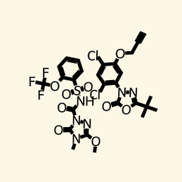 C#CCOc1cc(-n2nc(C(C)(C)C)oc2=O)c(Cl)cc1Cl.COc1nn(C(=O)NS(=O)(=O)c2ccccc2OC(F)(F)F)c(=O)n1C